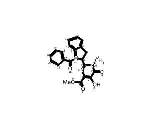 COC(=O)c1nc(C2Cc3ccccc3N2C(=O)c2ccccc2)n(C)c(=O)c1O